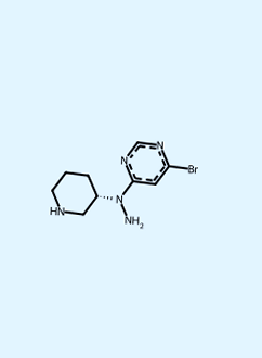 NN(c1cc(Br)ncn1)[C@H]1CCCNC1